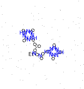 CCn1c2ccc(C3c4ccccc4-c4cc(-c5ccc6c(c5)C5/N=C7N=C(/N=C8\NC(/N=C9N=C(/N=C/6N5)c5ccccc5\9)c5ccccc58)c5ccccc5\7)ccc43)cc2c2cc(-n3c4ccccc4c4cc(-c5ccc6c(c5)/C5=N/C7=NC(=N\C8N/C(=N\C9=NC(=N\C6N5)/c5ccccc59)c5ccccc58)/c5ccccc57)ccc43)ccc21